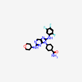 NC(=O)C1CCC(n2c(Nc3cc(F)c(F)cc3F)nc3cnc(NC4CCOCC4)nc32)CC1